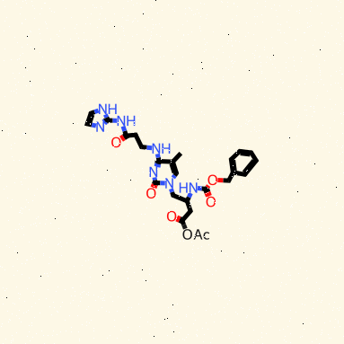 CC(=O)OC(=O)CC(Cn1cc(C)c(NCCC(=O)Nc2ncc[nH]2)nc1=O)NC(=O)OCc1ccccc1